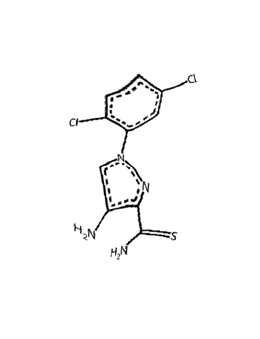 NC(=S)c1nn(-c2cc(Cl)ccc2Cl)cc1N